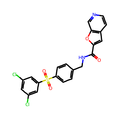 O=C(NCc1ccc(S(=O)(=O)c2cc(Cl)cc(Cl)c2)cc1)c1cc2ccncc2o1